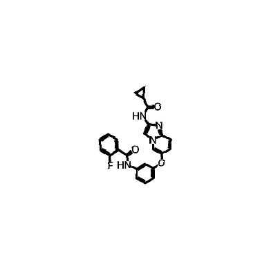 O=C(Nc1cccc(Oc2ccc3nc(NC(=O)C4CC4)cn3c2)c1)c1ccccc1F